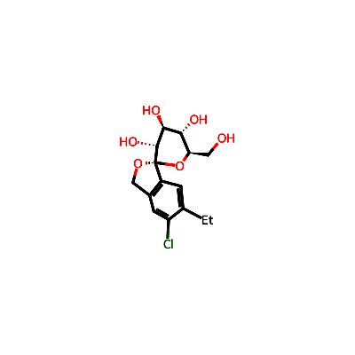 CCc1cc2c(cc1Cl)CO[C@]21O[C@H](CO)[C@@H](O)[C@H](O)[C@H]1O